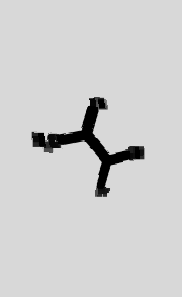 CCC(C)C(O)C(C)C